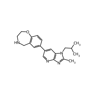 Cc1nc2ncc(-c3ccc4c(c3)CNCCO4)cc2n1CC(C)C